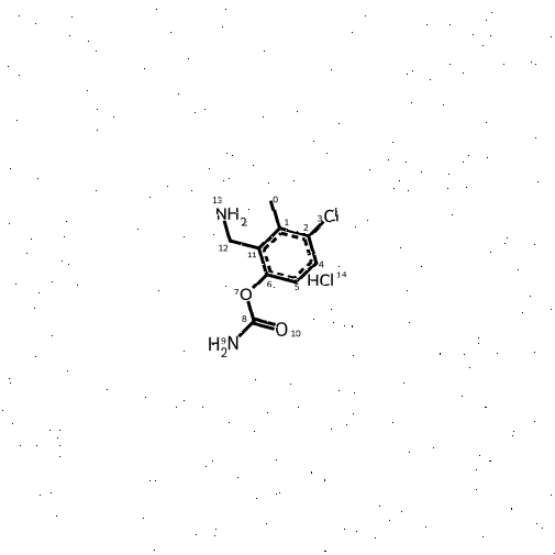 Cc1c(Cl)ccc(OC(N)=O)c1CN.Cl